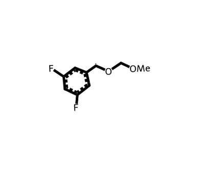 COCO[CH]c1cc(F)cc(F)c1